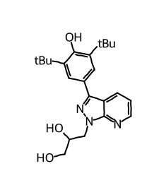 CC(C)(C)c1cc(-c2nn(CC(O)CO)c3ncccc23)cc(C(C)(C)C)c1O